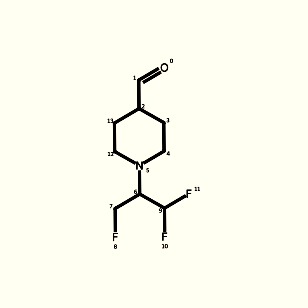 O=CC1CCN(C(CF)C(F)F)CC1